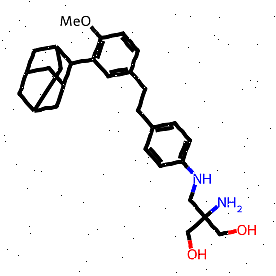 COc1ccc(CCc2ccc(NCC(N)(CO)CO)cc2)cc1C1C2CC3CC(C2)CC1C3